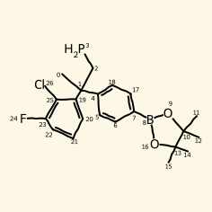 CC(CP)(c1ccc(B2OC(C)(C)C(C)(C)O2)cc1)c1cccc(F)c1Cl